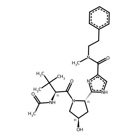 CC(=O)N[C@H](C(=O)N1C[C@H](O)C[C@H]1c1nc(C(=O)N(C)CCc2ccccc2)c[nH]1)C(C)(C)C